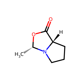 C[C@@H]1OC(=O)[C@@H]2CCCN12